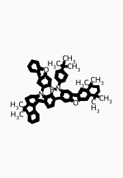 CC(C)(C)c1ccc(N2B3c4cc5oc6ccccc6c5cc4-n4c5ccc6c(c5c5ccc(c3c54)-c3cc4oc5cc7c(cc5c4cc32)C(C)(C)CCC7(C)C)-c2ccccc2C6(C)C)cc1